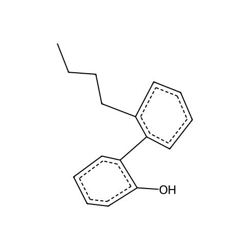 CCCCc1ccccc1-c1ccccc1O